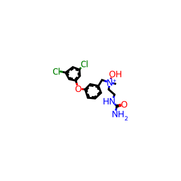 C[N+](O)(CCNC(N)=O)Cc1cccc(Oc2cc(Cl)cc(Cl)c2)c1